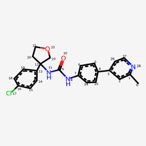 Cc1cc(-c2ccc(NC(=O)NC3(c4ccc(Cl)cc4)CCOC3)cc2)ccn1